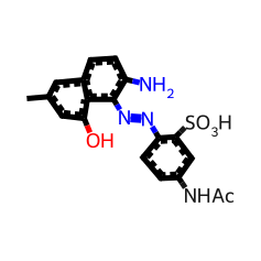 CC(=O)Nc1ccc(/N=N/c2c(N)ccc3cc(C)cc(O)c23)c(S(=O)(=O)O)c1